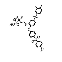 COc1ccc(S(=O)(=O)c2ccc(Oc3ccc(C(C)(C)c4ccc(C)c(C)c4)cc3SCCC(F)(F)S(=O)(=O)O)cc2)cc1